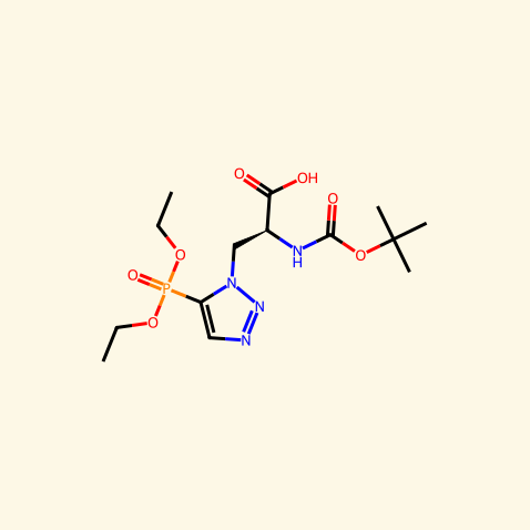 CCOP(=O)(OCC)c1cnnn1C[C@H](NC(=O)OC(C)(C)C)C(=O)O